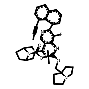 CC#Cc1cccc2cccc(-c3ncc4c(N5CC6CCC(C5)N6C(=O)OC(C)(C)C)nc(OCC56CCCN5CCC6)nc4c3F)c12